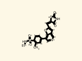 CCNS(=O)(=O)c1ccc(-c2cncc3cc(C=C4SC(=O)NC4=O)oc23)cc1C